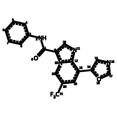 O=C(Nc1ccccc1)c1cnc2c(-c3cnco3)cc(C(F)(F)F)cn12